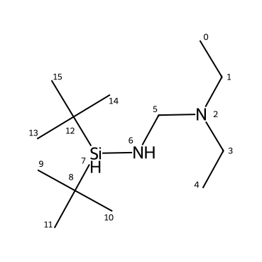 CCN(CC)CN[SiH](C(C)(C)C)C(C)(C)C